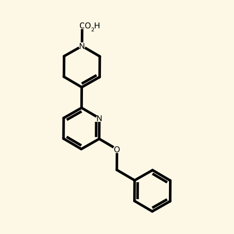 O=C(O)N1CC=C(c2cccc(OCc3ccccc3)n2)CC1